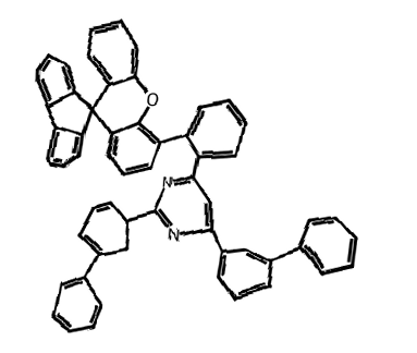 C1=CC(c2nc(-c3cccc(-c4ccccc4)c3)cc(-c3ccccc3-c3cccc4c3Oc3ccccc3C43c4ccccc4-c4ccccc43)n2)CC(c2ccccc2)=C1